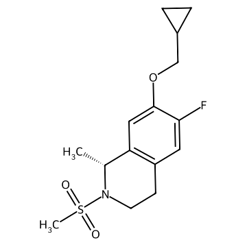 C[C@@H]1c2cc(OCC3CC3)c(F)cc2CCN1S(C)(=O)=O